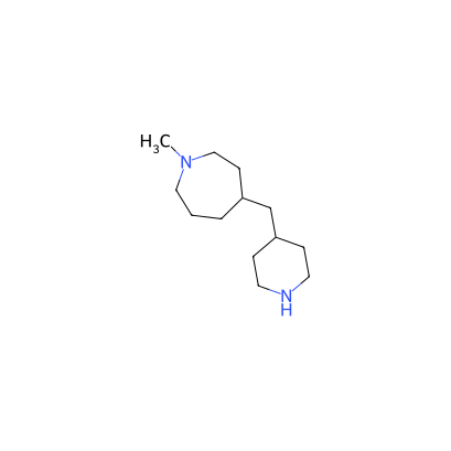 CN1CCCC(CC2CCNCC2)CC1